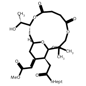 CCCCCCCC(=O)C[C@H]1/C(=C/C(=O)OC)C[C@H]2C[C@H]([C@@H](C)O)OC(=O)CCC(=O)OCC(C)(C)[C@]1(OC)O2